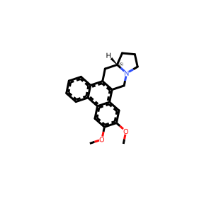 COc1cc2c3c(c4ccccc4c2cc1OC)C[C@@H]1CCCN1C3